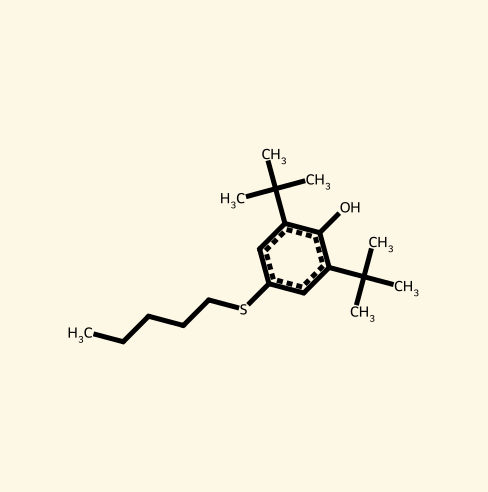 CCCCCSc1cc(C(C)(C)C)c(O)c(C(C)(C)C)c1